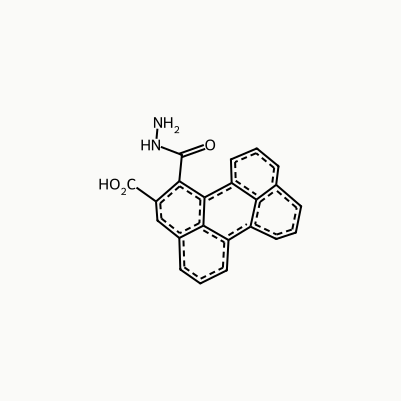 NNC(=O)c1c(C(=O)O)cc2cccc3c4cccc5cccc(c1c23)c54